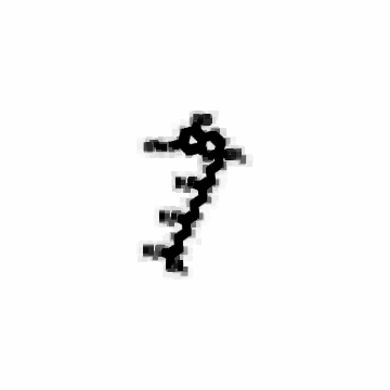 CCCCCc1cc(N=O)c2c(c1)OC(C)(CC/C=C(\C)CC/C=C(\C)CCC=C(C)C)C=C2